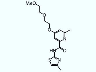 COCCOCCOc1cc(C)nc(C(=O)Nc2nc(C)cs2)c1